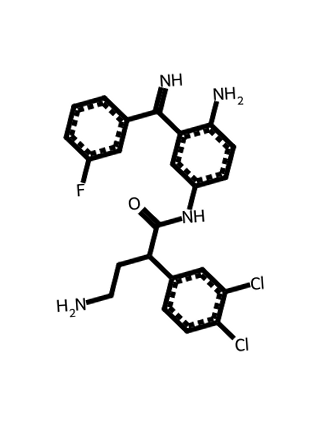 N=C(c1cccc(F)c1)c1cc(NC(=O)C(CCN)c2ccc(Cl)c(Cl)c2)ccc1N